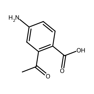 CC(=O)c1cc(N)ccc1C(=O)O